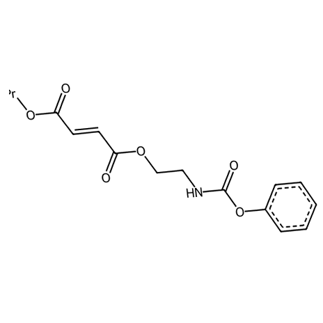 CC(C)OC(=O)/C=C/C(=O)OCCNC(=O)Oc1ccccc1